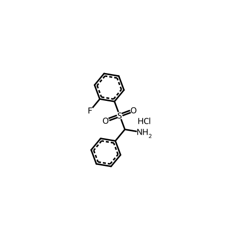 Cl.NC(c1ccccc1)S(=O)(=O)c1ccccc1F